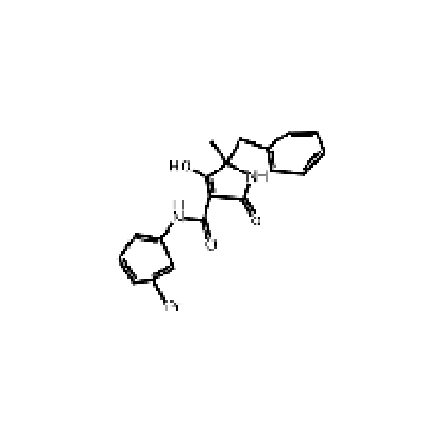 CC(C)c1cccc(NC(=O)C2=C(O)C(C)(Cc3ccccc3)NC2=O)c1